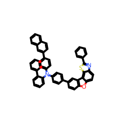 c1ccc(-c2nc3ccc4oc5ccc(-c6ccc(N(c7ccc(-c8ccc9ccccc9c8)cc7)c7ccccc7-c7ccccc7)cc6)cc5c4c3s2)cc1